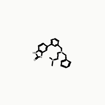 CN(C)CCN(Cc1ccccc1)Cc1cccc(-c2ccc3[nH]c(=O)oc3c2)c1